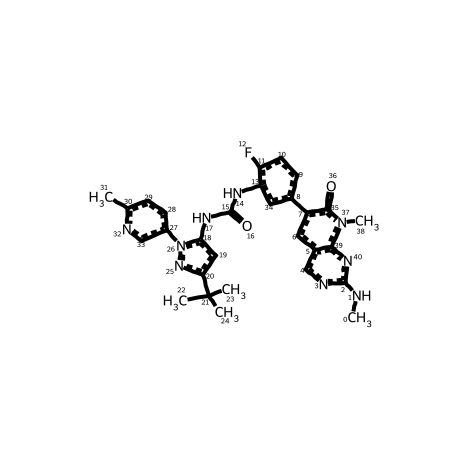 CNc1ncc2cc(-c3ccc(F)c(NC(=O)Nc4cc(C(C)(C)C)nn4-c4ccc(C)nc4)c3)c(=O)n(C)c2n1